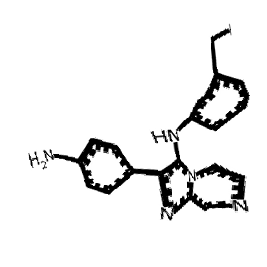 Nc1ccc(-c2nc3cnccn3c2Nc2cccc(CI)c2)cc1